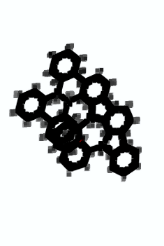 c1ccc(-n2c3ccccc3c3ccc4c5ccc6c(c5n(-c5ccccc5)c4c32)N2B(c3ccccc3-c3ccccc32)c2ccccc2-6)cc1